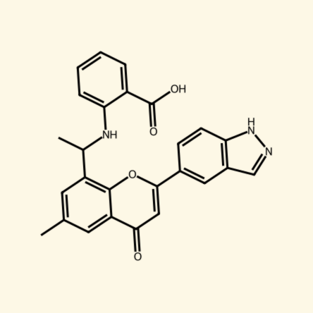 Cc1cc(C(C)Nc2ccccc2C(=O)O)c2oc(-c3ccc4[nH]ncc4c3)cc(=O)c2c1